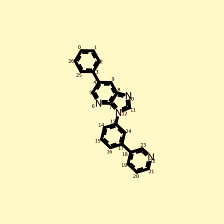 c1ccc(-c2cnc3c(c2)ncn3-c2cccc(-c3cccnc3)c2)cc1